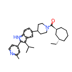 CC[C@H]1CCCC[C@H](C(=O)N2CCC(c3ccc4[nH]c(-c5ccnc(C)c5)c(C(C)C)c4c3)CC2)C1